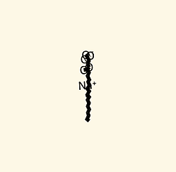 CCCCCCCCC=CCCCCCCCC(=O)OCCS(=O)(=O)[O-].[Na+]